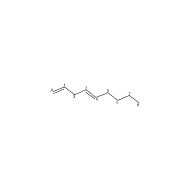 [CH]=CCC=CCCCC